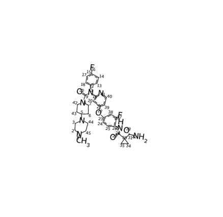 CN1CCN(C2CCN(C(=O)N(c3ccc(F)cc3)c3cc(Oc4ccc(NC(=O)C5(C(N)=O)CC5)c(F)c4)ccn3)CC2)CC1